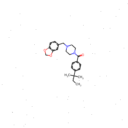 CCC(C)(C)c1ccc(C(=O)N2CCN(Cc3ccc4c(c3)OCO4)CC2)cc1